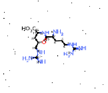 N=C(N)NCCCC(N)C(=O)NC(CCCNC(=N)N)C(=O)O